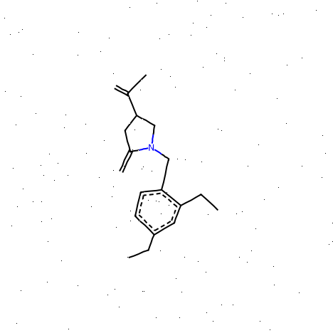 C=C(C)C1CC(=C)N(Cc2ccc(CC)cc2CC)C1